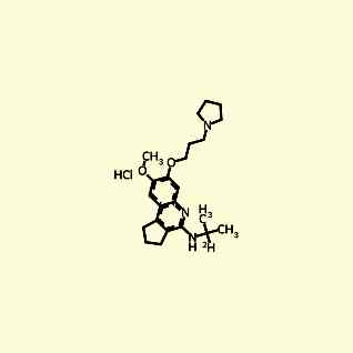 Cl.[2H]C(C)(C)Nc1nc2cc(OCCCN3CCCC3)c(OC)cc2c2c1CCC2